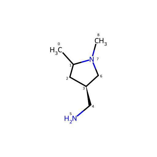 CC1C[C@H](CN)CN1C